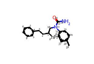 CCCC(CCc1ccccc1)CN(C(N)=O)c1ccc(C)cc1